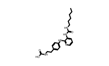 CCCCCCNC(=O)Nc1cccnc1Nc1ccc(CCNC(=O)O)cc1